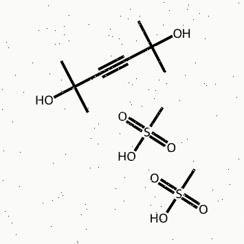 CC(C)(O)C#CC(C)(C)O.CS(=O)(=O)O.CS(=O)(=O)O